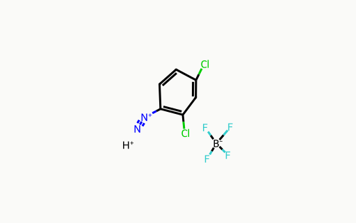 F[B-](F)(F)F.N#[N+]c1ccc(Cl)cc1Cl.[H+]